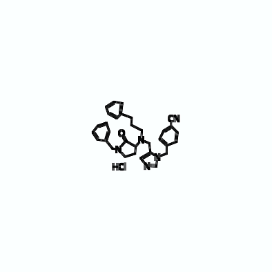 Cl.N#Cc1ccc(Cn2cncc2CN(CCCc2ccccc2)C2CCN(Cc3ccccc3)C2=O)cc1